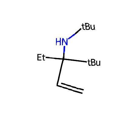 C=CC(CC)(NC(C)(C)C)C(C)(C)C